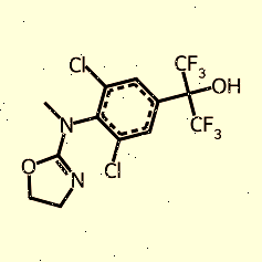 CN(C1=NCCO1)c1c(Cl)cc(C(O)(C(F)(F)F)C(F)(F)F)cc1Cl